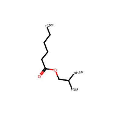 CCCCCCCCCCCCCCC(=O)OCC(CCCC)CCCCCC